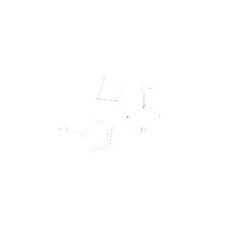 CC(C(=O)O)(c1ccc(Cl)s1)C1CCC1